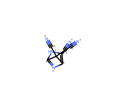 N#Cc1[nH]c2nc1C2(C#N)C#N